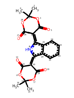 CC1(C)OC(=O)C(=c2[nH]c(=C3C(=O)OC(C)(C)OC3=O)c3ccccc23)C(=O)O1